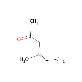 CC=C(C)CC(C)=O